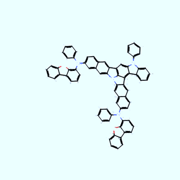 c1ccc(N(c2ccc3cc4c5cc6c(c7ccccc7n6-c6ccccc6)c6c7cc8ccc(N(c9ccccc9)c9cccc%10c9oc9ccccc9%10)cc8cc7n(c4cc3c2)c56)c2cccc3c2oc2ccccc23)cc1